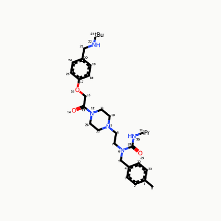 Cc1ccc(CN(CCN2CCN(C(=O)COc3ccc(CNC(C)(C)C)cc3)CC2)C(=O)NC(C)C)cc1